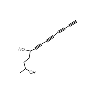 C#CC#CC#CC#CC(O)CCC(C)O